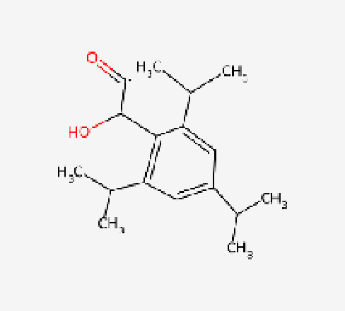 CC(C)c1cc(C(C)C)c(C(O)[C]=O)c(C(C)C)c1